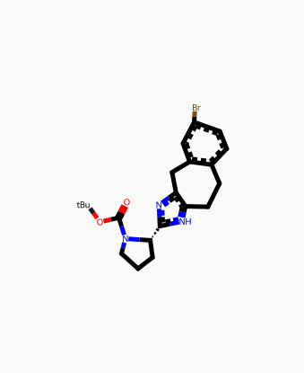 CC(C)(C)OC(=O)N1CCC[C@H]1c1nc2c([nH]1)CCc1ccc(Br)cc1C2